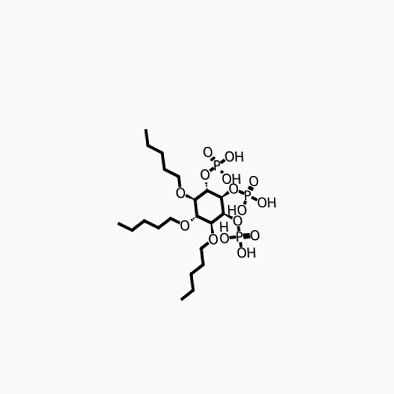 CCCCCO[C@@H]1[C@@H](OCCCCC)[C@H](OP(=O)(O)O)[C@@H](OP(=O)(O)O)[C@@H](OP(=O)(O)O)[C@H]1OCCCCC